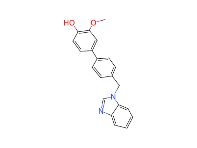 COc1cc(-c2ccc(Cn3cnc4ccccc43)cc2)ccc1O